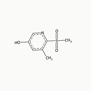 Cc1cc(O)cnc1S(C)(=O)=O